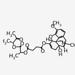 COc1ccc2c3c1O[C@H]1C(OC(=O)CCC(=O)O[C@@H](C)C(=O)O[C@@H](C)C(C)=O)=CC[C@@]4(O)[C@@H](C2)N(C)CC[C@]314